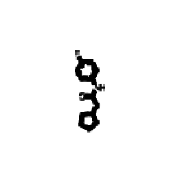 O=C(CC1CCCC1)Nc1ccc(F)cc1